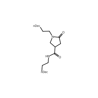 CCCCCCCCCCCCNC(=O)C1CC(=O)N(CCCCCCCCCCCC)C1